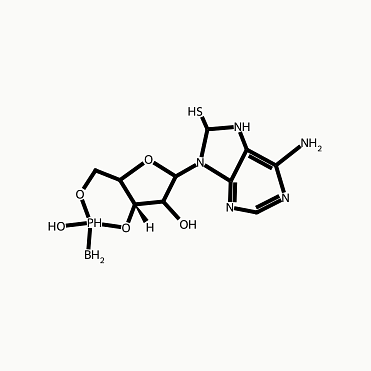 B[PH]1(O)OCC2OC(N3c4ncnc(N)c4NC3S)C(O)[C@@H]2O1